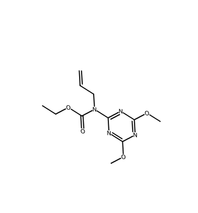 C=CCN(C(=O)OCC)c1nc(OC)nc(OC)n1